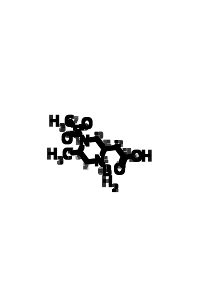 BN1CC(C)N(S(C)(=O)=O)CC1CC(=O)O